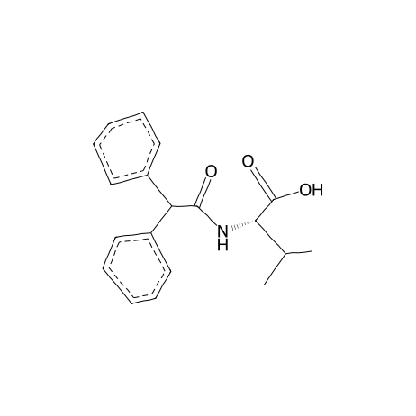 CC(C)[C@H](NC(=O)C(c1ccccc1)c1ccccc1)C(=O)O